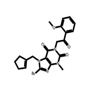 COc1ccccc1C(=O)Cn1c(=O)c2c(nc(Br)n2CC2=CCCC2)n(C)c1=O